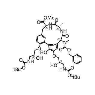 COC(=O)[C@@H]1Cc2ccc(OC[C@H](O)CNC(=O)OC(C)(C)C)c(c2)-c2cc(cc(OC[C@@H](O)CNC(=O)OC(C)(C)C)c2O)[C@H](N(C)C(=O)OCc2ccccc2)C(=O)N[C@@H](C)C(=O)N1